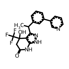 CC(c1cccc(-c2cccnc2)c1)c1n[nH]c2c1C(O)(C(F)(F)F)CC(=O)N2